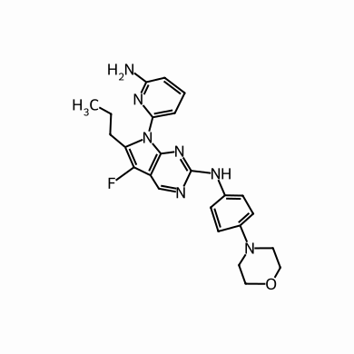 CCCc1c(F)c2cnc(Nc3ccc(N4CCOCC4)cc3)nc2n1-c1cccc(N)n1